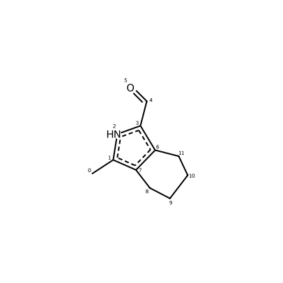 Cc1[nH]c(C=O)c2c1CCCC2